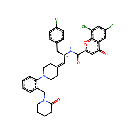 O=C(N[C@@H](C=C1CCN(c2ccccc2CN2CCCCC2=O)CC1)Cc1ccc(Cl)cc1)c1cc(=O)c2cc(Cl)cc(Cl)c2o1